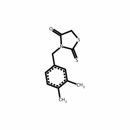 Cc1ccc(CN2C(=O)CSC2=S)cc1C